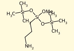 CO[Si](CCCN)(O[Si](C)(C)C)O[Si](C)(C)C